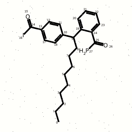 CCCCCCCCCC(c1ccc(C(=O)I)cc1)c1ccccc1C(=O)P